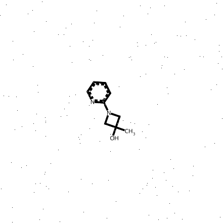 CC1(O)CN(c2c[c]ccn2)C1